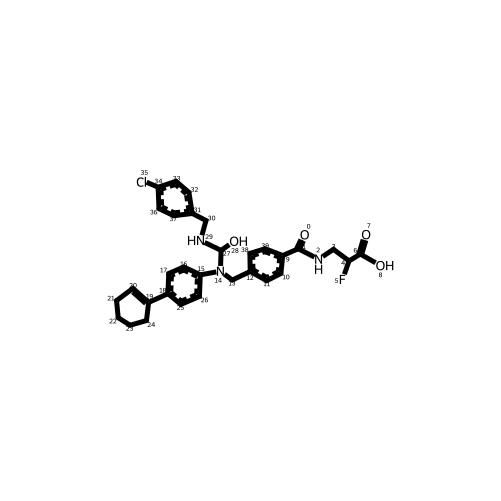 O=C(NCC(F)C(=O)O)c1ccc(CN(c2ccc(C3=CCCCC3)cc2)C(O)NCc2ccc(Cl)cc2)cc1